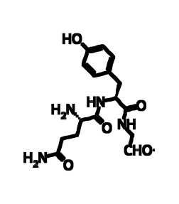 NC(=O)CC[C@H](N)C(=O)N[C@@H](Cc1ccc(O)cc1)C(=O)NC[C]=O